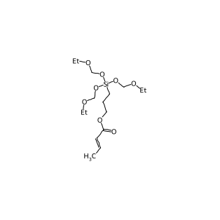 CC=CC(=O)OCCC[Si](OCOCC)(OCOCC)OCOCC